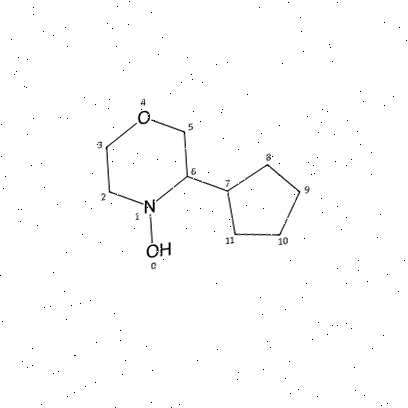 ON1CCOCC1C1CCCC1